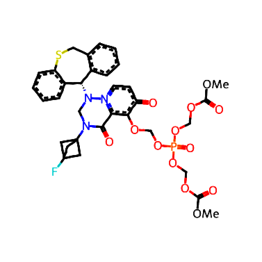 COC(=O)OCOP(=O)(OCOC(=O)OC)OCOc1c2n(ccc1=O)N([C@H]1c3ccccc3CSc3ccccc31)CN(C13CC(F)(C1)C3)C2=O